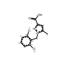 Cc1cc(C(=O)O)nn1Cc1c(Cl)cccc1Cl